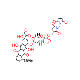 COc1cccc2c1C(=O)c1c(O)c3c(c(O)c1C2=O)C[C@@](O)(C(=O)CO)C[C@@H]3O[C@H]1C[C@H]2[C@H](O[C@@H]3C(OCC4CC(=O)N(CN5C(=O)C=CC5=O)C4=O)OCCN32)[C@H](C)O1